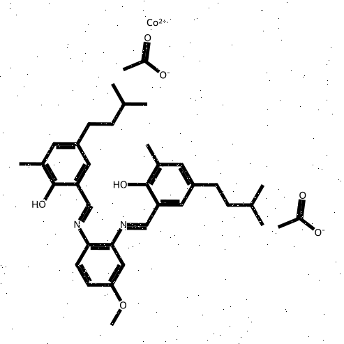 CC(=O)[O-].CC(=O)[O-].COc1ccc(N=Cc2cc(CCC(C)C)cc(C)c2O)c(N=Cc2cc(CCC(C)C)cc(C)c2O)c1.[Co+2]